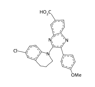 COc1ccc(-c2nc3ccc(C(=O)O)cc3nc2N2CCCc3cc(Cl)ccc32)cc1